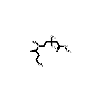 CCCC(=O)N(C)CCC(C)(C)CC(=O)NC